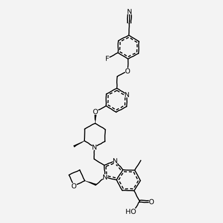 Cc1cc(C(=O)O)cc2c1nc(CN1CC[C@H](Oc3ccnc(COc4ccc(C#N)cc4F)c3)C[C@@H]1C)n2C[C@@H]1CCO1